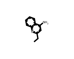 CCc1cc(N)c2ccccc2n1